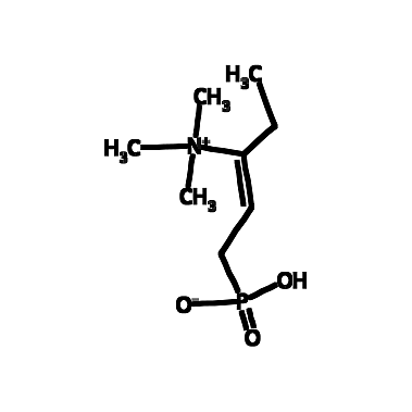 CCC(=CCP(=O)([O-])O)[N+](C)(C)C